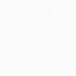 CCCCCCCCCCCCCCCCCCCCCCC(O)O